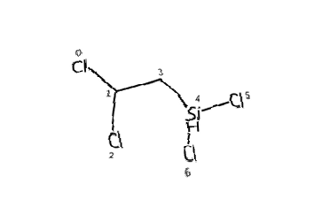 ClC(Cl)C[SiH](Cl)Cl